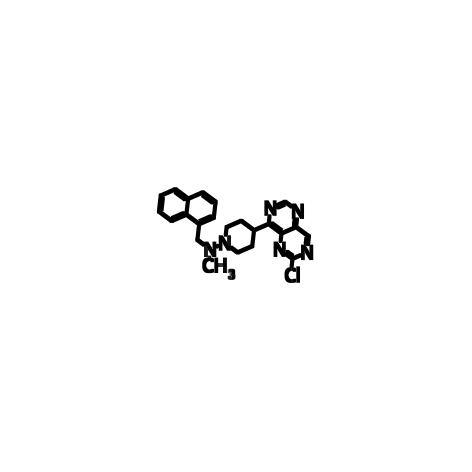 CN(Cc1cccc2ccccc12)N1CCC(c2ncnc3cnc(Cl)nc23)CC1